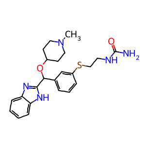 CN1CCC(OC(c2cccc(SCCNC(N)=O)c2)c2nc3ccccc3[nH]2)CC1